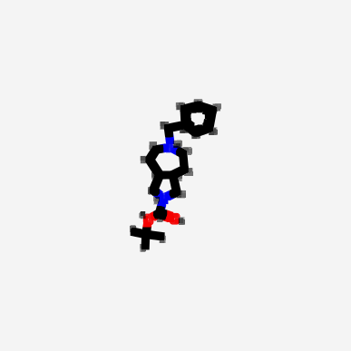 CC(C)(C)OC(=O)N1CC2CCN(Cc3ccccc3)CCC2C1